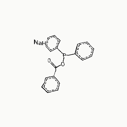 O=C(OP(c1ccccc1)c1ccccc1)c1ccccc1.[NaH]